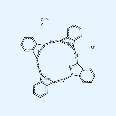 [Cl-].[Cl-].[Ge+2].c1ccc2c(c1)-c1nc-2nc2[nH]c(nc3nc(nc4[nH]c(n1)c1ccccc41)-c1ccccc1-3)c1ccccc21